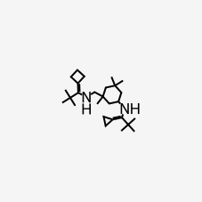 CC1(C)CC(NC(=C2CC2)C(C)(C)C)CC(C)(CNC(=C2CCC2)C(C)(C)C)C1